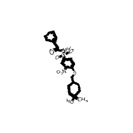 CC1(O)CCC(COc2ccc(S(=O)(=O)NC(=O)c3ccccc3)cc2[N+](=O)[O-])CC1